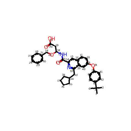 CC(C)(C)c1ccc(Oc2ccc3cc(C(=O)NC(CC(=O)O)OCc4ccccc4)nc(CC4CCCC4)c3c2)cc1